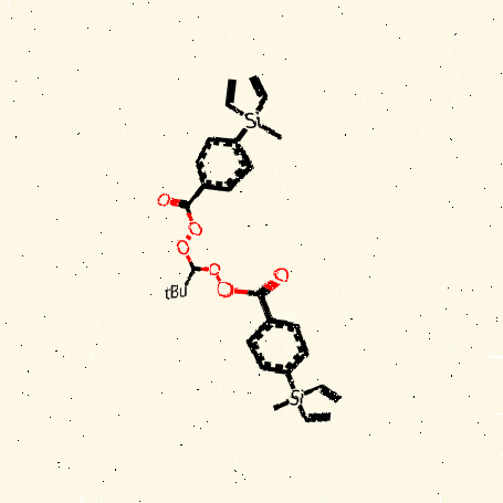 [CH2]C(C)(C)[C](OOC(=O)c1ccc([Si](C)(C=C)C=C)cc1)OOC(=O)c1ccc([Si](C)(C=C)C=C)cc1